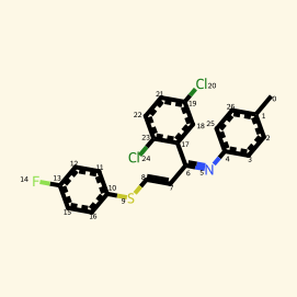 Cc1ccc(N=C(C=CSc2ccc(F)cc2)c2cc(Cl)ccc2Cl)cc1